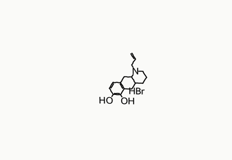 Br.C=CCN1CCCC2Cc3c(ccc(O)c3O)CC21